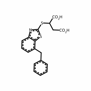 O=C(O)CC(Sc1nc2cccc(Cc3ccccc3)c2s1)C(=O)O